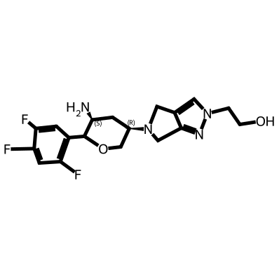 N[C@H]1C[C@@H](N2Cc3cn(CCO)nc3C2)COC1c1cc(F)c(F)cc1F